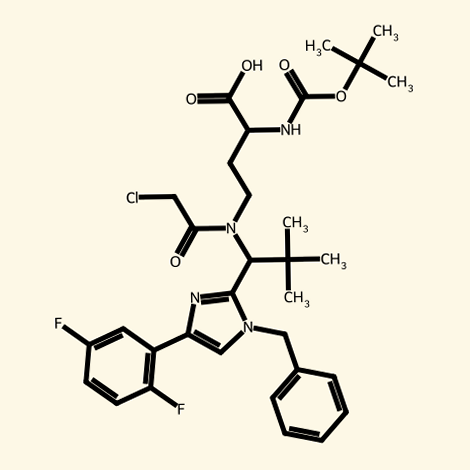 CC(C)(C)OC(=O)NC(CCN(C(=O)CCl)C(c1nc(-c2cc(F)ccc2F)cn1Cc1ccccc1)C(C)(C)C)C(=O)O